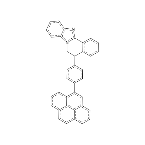 c1ccc2c(c1)-c1nc3ccccc3n1CC2c1ccc(-c2cc3cccc4ccc5cccc2c5c43)cc1